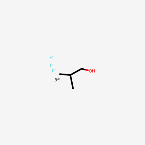 CC(C)CO.[B+3].[F-].[F-].[F-]